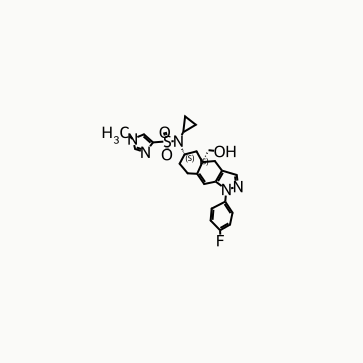 Cn1cnc(S(=O)(=O)N(C2CC2)[C@H]2CCC3=Cc4c(cnn4-c4ccc(F)cc4)C[C@]3(CO)C2)c1